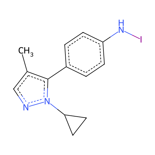 Cc1cnn(C2CC2)c1-c1ccc(NI)cc1